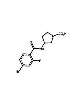 O=C(NC1CCN(C(=O)O)C1)c1ccc(Br)cc1F